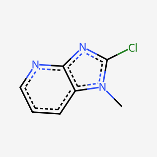 Cn1c(Cl)nc2ncccc21